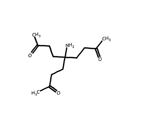 CC(=O)CCC(N)(CCC(C)=O)CCC(C)=O